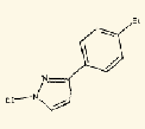 CCc1ccc(-c2ccn(CC)n2)cc1